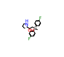 C[Si](C[C@@H](O)[C@@H]1CCCN1)(c1ccc(F)cc1)c1ccc(F)cc1